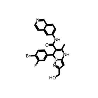 CC1=C(C(=O)Nc2ccc3cnccc3c2)C(c2ccc(Br)c(F)c2)n2nc(CO)cc2N1